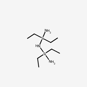 CC[Si](N)(CC)N[Si](N)(CC)CC